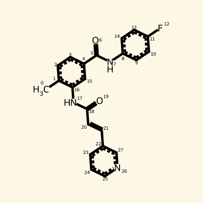 Cc1ccc(C(=O)Nc2ccc(F)cc2)cc1NC(=O)C=Cc1cccnc1